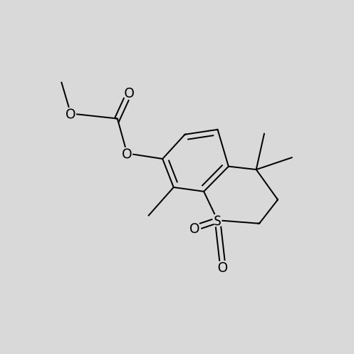 COC(=O)Oc1ccc2c(c1C)S(=O)(=O)CCC2(C)C